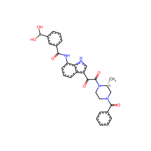 C[C@@H]1CN(C(=O)c2ccccc2)CCN1C(=O)C(=O)c1c[nH]c2c(NC(=O)c3cccc(B(O)O)c3)cccc12